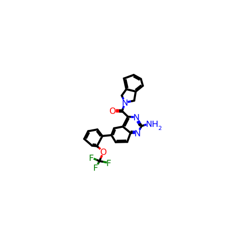 Nc1nc(C(=O)N2Cc3ccccc3C2)c2cc(-c3ccccc3OC(F)(F)F)ccc2n1